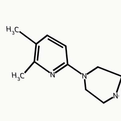 Cc1ccc(N2CC[N]CC2)nc1C